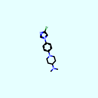 CN(C)C1CCN(c2ccc(-n3cnc(Br)c3)cc2)CC1